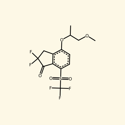 COCC(C)Oc1ccc(S(=O)(=O)C(F)(F)F)c2c1CC(F)(F)C2=O